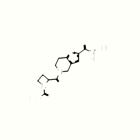 CNC(=O)c1cc2c(s1)CCN(C(=O)C1CCN1C(=O)O)C2